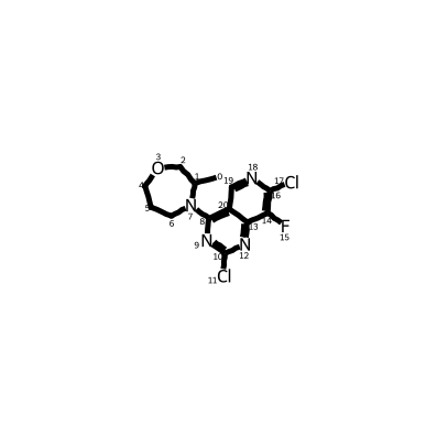 CC1COCCCN1c1nc(Cl)nc2c(F)c(Cl)ncc12